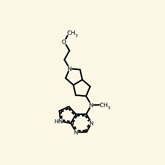 COCCN1CC2CC(N(C)c3ncnc4[nH]ccc34)CC2C1